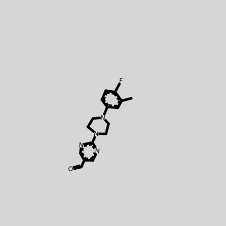 Cc1cc(N2CCN(c3ncc(C=O)cn3)CC2)ccc1F